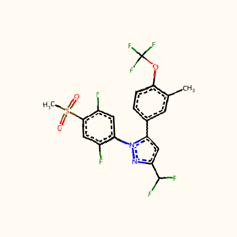 Cc1cc(-c2cc(C(F)F)nn2-c2cc(F)c(S(C)(=O)=O)cc2F)ccc1OC(F)(F)F